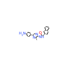 Cc1nc(-c2ccc(N)cc2)cnc1NC(=O)Cc1ccc2ccccc2c1